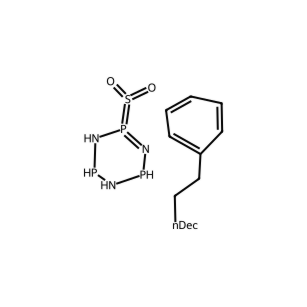 CCCCCCCCCCCCc1ccccc1.O=S(=O)=P1=NPNPN1